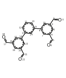 O=Cc1cc(C=O)cc(-c2cccc(-c3cc(C=O)cc(C=O)c3)c2)c1